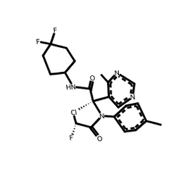 Cc1ccc(N(C(=O)[C@H](F)Cl)[C@@](C)(C(=O)NC2CCC(F)(F)CC2)c2cncnc2C)cc1